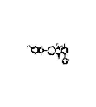 Cc1ccc(-n2nccn2)c(C(=O)N2CCN(c3nc4cc(Cl)ccc4s3)CCC2C(F)(F)F)c1